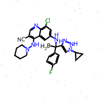 BC(Nc1cc(Cl)c2ncc(C#N)c(NN3CCCCC3)c2c1)(C1=CN(C2CC2)NN1)c1ccc(F)cc1